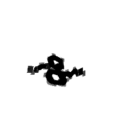 CCCCC1(c2ccccc2OCC)CCCCC1